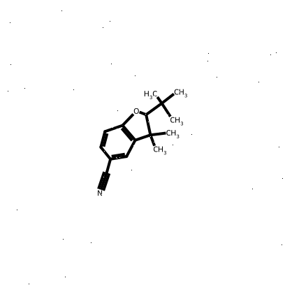 CC(C)(C)C1Oc2ccc(C#N)cc2C1(C)C